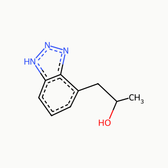 CC(O)Cc1cccc2[nH]nnc12